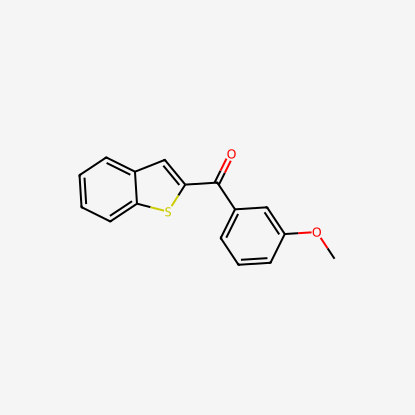 COc1cccc(C(=O)c2cc3ccccc3s2)c1